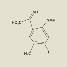 CNc1cc(F)c(C)cc1C(=N)C(=O)O